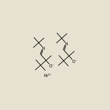 CC(C)(C)N=CC(C)([O-])C(C)(C)C.CC(C)(C)N=CC(C)([O-])C(C)(C)C.[Ni+2]